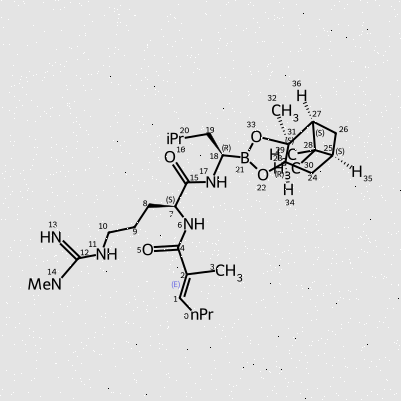 CCC/C=C(\C)C(=O)N[C@@H](CCCNC(=N)NC)C(=O)N[C@@H](CC(C)C)B1O[C@@H]2C[C@@H]3C[C@@H](C3(C)C)[C@]2(C)O1